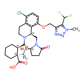 C[C@@H]1CCC(=O)N1C[C@@H]1c2c(OCc3nnn(C)c3C(F)F)ccc(Cl)c2CCN1C(=O)[C@@H]1CCCC[C@]1(C)C(=O)O